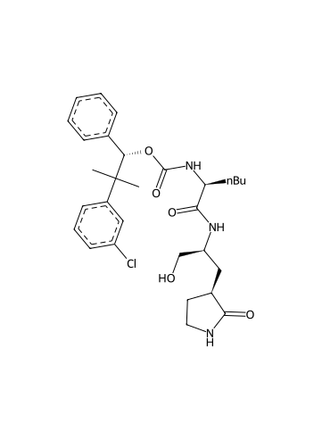 CCCC[C@H](NC(=O)O[C@@H](c1ccccc1)C(C)(C)c1cccc(Cl)c1)C(=O)N[C@H](CO)C[C@@H]1CCNC1=O